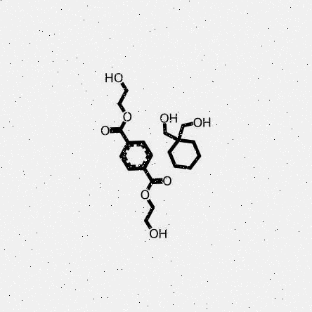 O=C(OCCO)c1ccc(C(=O)OCCO)cc1.OCC1(CO)CCCCC1